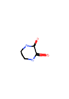 O=C1[N]CC[N]C1=O